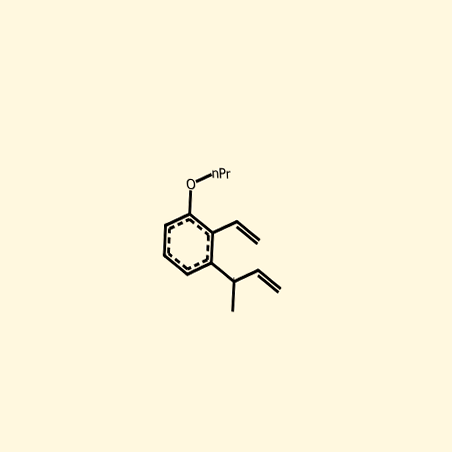 C=C[C](C)c1cccc(OCCC)c1C=C